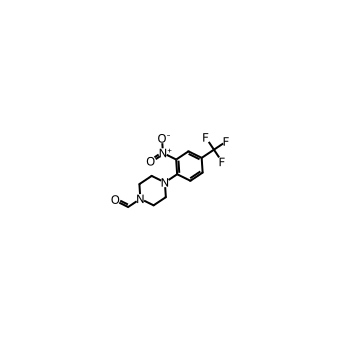 O=CN1CCN(c2ccc(C(F)(F)F)cc2[N+](=O)[O-])CC1